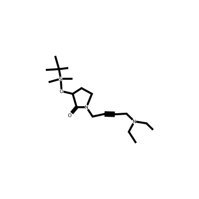 CCN(CC)CC#CCN1CCC(O[Si](C)(C)C(C)(C)C)C1=O